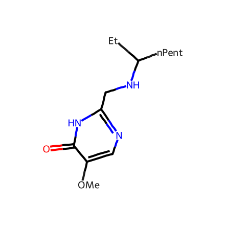 CCCCCC(CC)NCc1ncc(OC)c(=O)[nH]1